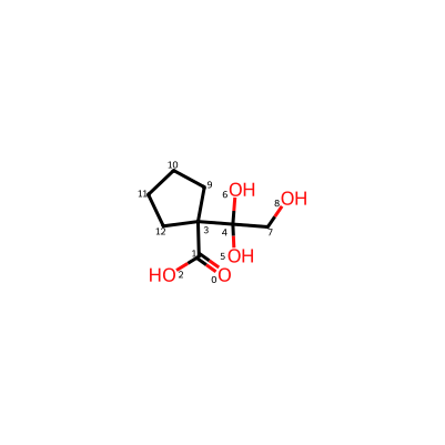 O=C(O)C1(C(O)(O)CO)CCCC1